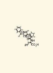 CCOC(=O)C(N[C@@H](C)C(=O)N1CCC[C@H]1C(=O)N[C@@H](CC(C)C)C(=O)O)C(C)c1ccccc1